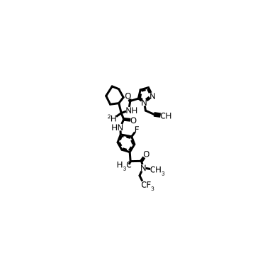 [2H]C(NC(=O)c1ccnn1CC#C)(C(=O)Nc1ccc(C(C)C(=O)N(C)CC(F)(F)F)cc1F)C1CCCCC1